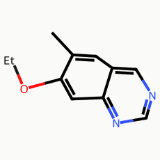 CCOc1cc2ncncc2cc1C